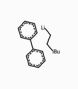 [Li][CH2]CC(C)CC.c1ccc(-c2ccccc2)cc1